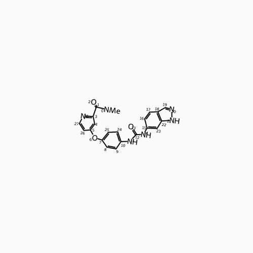 CNC(=O)c1cc(Oc2ccc(NC(=O)Nc3ccc4cn[nH]c4c3)cc2)ccn1